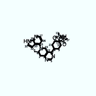 C[C@@H]1Cc2ncnc(C3CCC(S(C)(=N)=O)(S(C)(=O)=O)CC3)c2CN1c1ccnc2[nH]ccc12